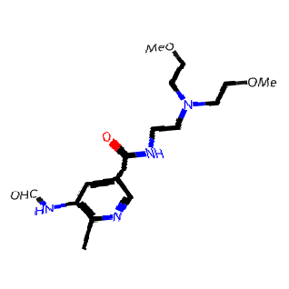 COCCN(CCNC(=O)c1cnc(C)c(NC=O)c1)CCOC